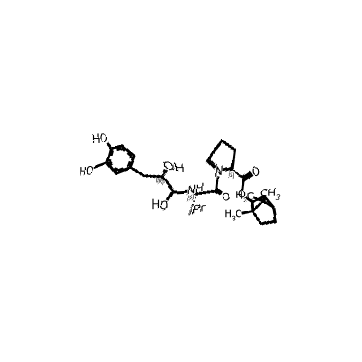 CC(C)[C@H](NC(O)[C@H](O)Cc1ccc(O)c(O)c1)C(=O)N1CCC[C@H]1C(=O)OC1CC2CCC1(C)C2(C)C